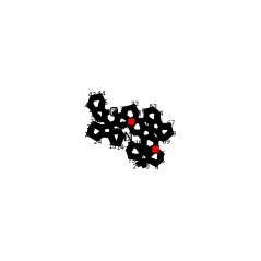 CC1(C)c2ccccc2-c2cc(N(c3ccc4c(c3)C3(c5ccccc5-4)c4ccc5ccccc5c4Oc4c3ccc3ccccc43)c3cccc4c3-c3ccccc3C43c4ccccc4-c4ccccc43)ccc21